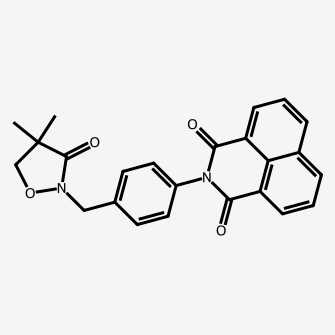 CC1(C)CON(Cc2ccc(N3C(=O)c4cccc5cccc(c45)C3=O)cc2)C1=O